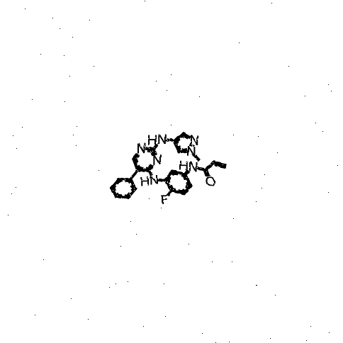 C=CC(=O)Nc1ccc(F)c(Nc2nc(Nc3cnn(C)c3)ncc2-c2ccccc2)c1